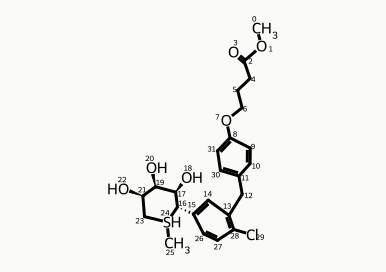 COC(=O)CCCOc1ccc(Cc2cc([C@H]3[C@H](O)[C@H](O)[C@H](O)C[SH]3C)ccc2Cl)cc1